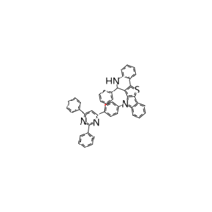 c1ccc(-c2cc(-c3ccc(-n4c5ccccc5c5sc6c(c54)C(c4ccccc4)Nc4ccccc4-6)cc3)nc(-c3ccccc3)n2)cc1